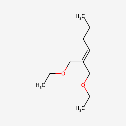 CCCC=C(COCC)COCC